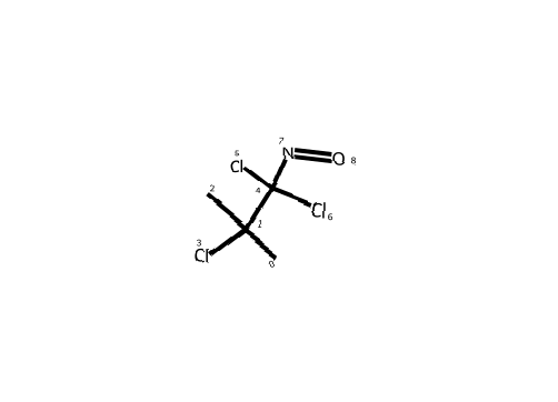 CC(C)(Cl)C(Cl)(Cl)N=O